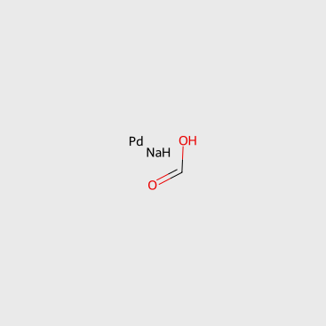 O=CO.[NaH].[Pd]